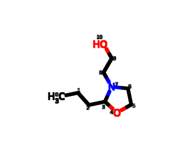 CCCC1OCCN1CCO